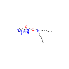 CCCCCCCCN(CCCCCCCC)CCOCCNC(=O)C(N)Cc1cnc[nH]1